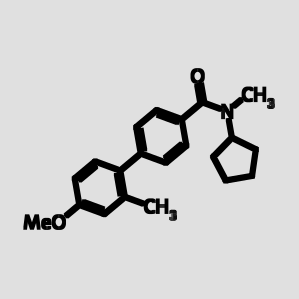 COc1ccc(-c2ccc(C(=O)N(C)C3CCCC3)cc2)c(C)c1